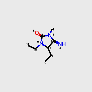 CCC1C(=N)N(C)C(=O)N1CC